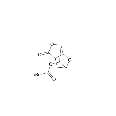 CCC(C)C(=O)OC1C2CC3C(=O)OC1C3O2